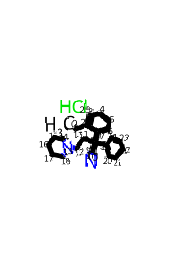 CCc1ccccc1C(C#N)(CCN1CCCCC1)c1ccccc1.Cl